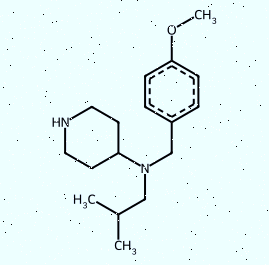 COc1ccc(CN(CC(C)C)C2CCNCC2)cc1